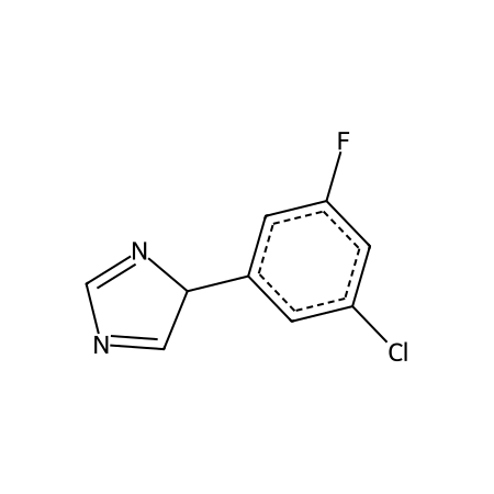 Fc1cc(Cl)cc(C2C=NC=N2)c1